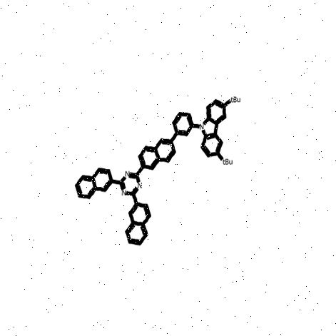 CC(C)(C)c1ccc2c(c1)c1cc(C(C)(C)C)ccc1n2-c1cccc(-c2ccc3cc(-c4nc(-c5ccc6ccccc6c5)nc(-c5ccc6ccccc6c5)n4)ccc3c2)c1